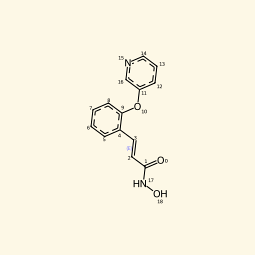 O=C(/C=C/c1ccccc1Oc1cccnc1)NO